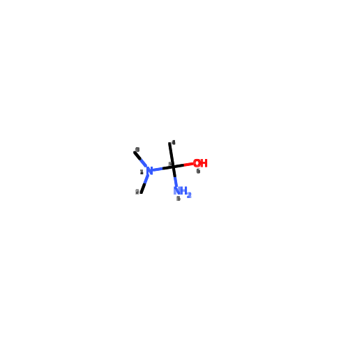 CN(C)C(C)(N)O